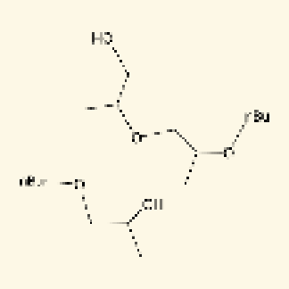 CCCCOC(C)COC(C)CO.CCCCOCC(C)O